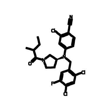 CCC(C)C(=O)N1CC[C@H](N(Cc2cc(F)c(Cl)cc2Cl)c2ccc(C#N)c(Cl)c2)C1